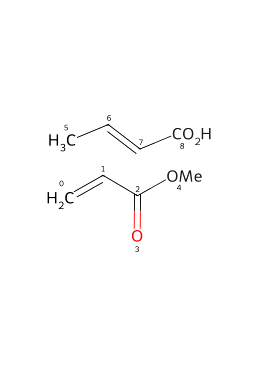 C=CC(=O)OC.CC=CC(=O)O